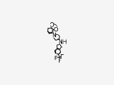 FC(F)(F)c1ccc2c(c1)CC(NC1CCN(c3cccc4c3OCCO4)CC1)C2